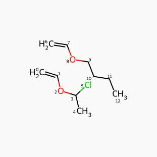 C=COC(C)Cl.C=COCCCC